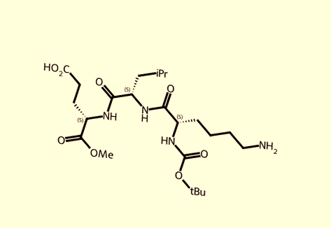 COC(=O)[C@H](CCC(=O)O)NC(=O)[C@H](CC(C)C)NC(=O)[C@H](CCCCN)NC(=O)OC(C)(C)C